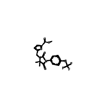 COC(=O)c1ccc(CN2C(=O)N(c3ccc(SC(F)(F)F)cc3)C(=O)C2(C)C)o1